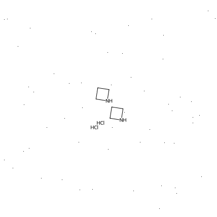 C1CNC1.C1CNC1.Cl.Cl